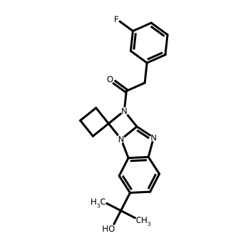 CC(C)(O)c1ccc2nc3n(c2c1)C1(CCC1)N3C(=O)Cc1cccc(F)c1